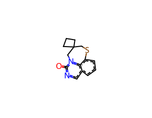 O=c1ncc2cccc3c2n1CC1(CCC1)CS3